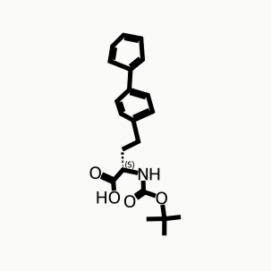 CC(C)(C)OC(=O)N[C@@H](CCc1ccc(-c2ccccc2)cc1)C(=O)O